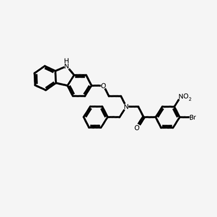 O=C(CN(CCOc1ccc2c(c1)[nH]c1ccccc12)Cc1ccccc1)c1ccc(Br)c([N+](=O)[O-])c1